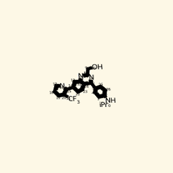 CC(C)Nc1ccc(-c2nc(CO)nc3cc(-c4ncccc4C(F)(F)F)ccc23)cc1